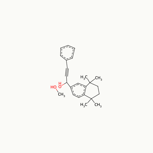 CC1(C)CCC(C)(C)c2cc(C(O)C#Cc3ccccc3)ccc21.CO